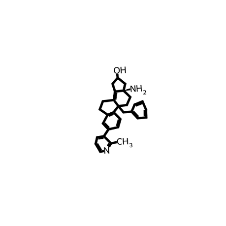 Cc1ncccc1-c1ccc2c(c1)CCC1=C3CC(O)C[C@]3(N)CCC12Cc1ccccc1